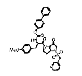 COc1ccc(CC(NC(=O)Oc2ccc(-c3ccccc3)cc2)C(=O)N2CCC3C2C(=O)CN3S(=O)(=O)Cc2cccnc2)cc1